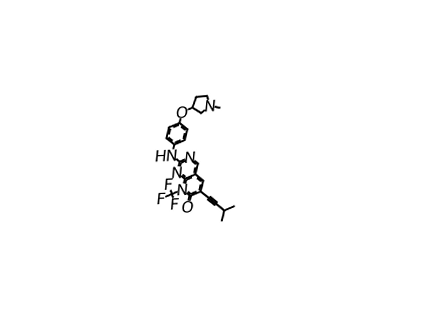 CC(C)C#Cc1cc2cnc(Nc3ccc(OC4CCN(C)C4)cc3)nc2n(C(F)(F)F)c1=O